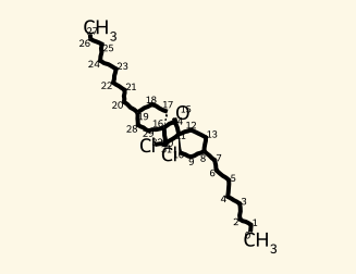 CCCCCCCCC1CC[C@]2(CC1)C(=O)[C@@]1(CCC(CCCCCCCC)CC1)C2(Cl)Cl